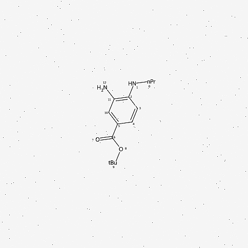 CCCNc1ccc(C(=O)OC(C)(C)C)cc1N